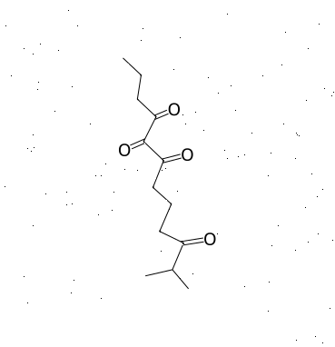 CCCC(=O)C(=O)C(=O)CCCC(=O)C(C)C